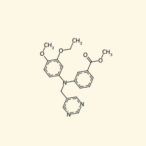 CCOc1cc(N(Cc2cncnc2)c2cccc(C(=O)OC)c2)ccc1OC